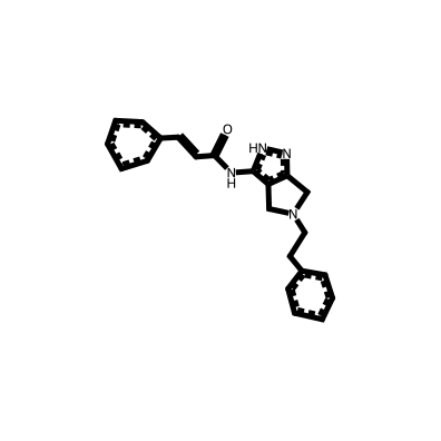 O=C(C=Cc1ccccc1)Nc1[nH]nc2c1CN(CCc1ccccc1)C2